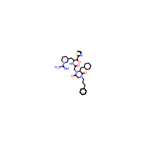 N=C(N)N1CCCC(CC(NC(=O)CN2C(=O)CN(CCCc3ccccc3)C(=O)C2CC2CCCCC2)C(=O)c2nccs2)C1